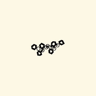 c1ccc(Oc2cccc(OOOc3cccc(Oc4ccccc4)c3Oc3ccccc3)c2Oc2ccccc2)cc1